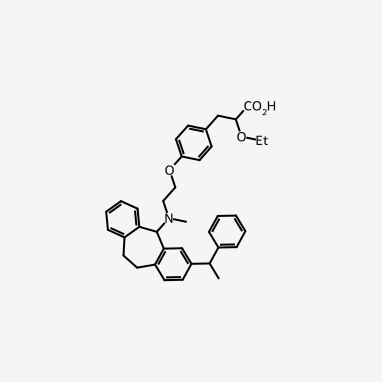 CCOC(Cc1ccc(OCCN(C)C2c3ccccc3CCc3ccc(C(C)c4ccccc4)cc32)cc1)C(=O)O